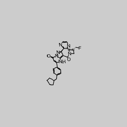 C[C@@H]1[C@H](CF)CN1C(=O)c1c(-c2cnccn2)nn2c(=O)cc(-c3ccc(CC4CCCC4)cc3)[nH]c12